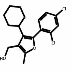 Cc1oc(-c2ccc(Cl)cc2Cl)c(C2CCCCC2)c1CO